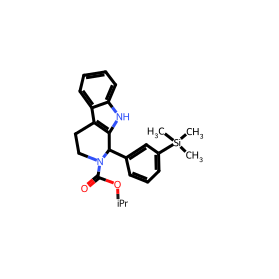 CC(C)OC(=O)N1CCc2c([nH]c3ccccc23)C1c1cccc([Si](C)(C)C)c1